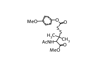 COC(=O)C(NC(C)=O)C(C)(C)SSC(=O)Oc1ccc(OC)cc1